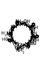 CCCC[C@H]1C(=O)N(C)[C@@H](CCCC)C(=O)N[C@@H](Cc2ccccn2)C(=O)N[C@H](C(=O)NCC(N)=O)CSCC(=O)N[C@@H](Cc2ccc(O)cc2)C(=O)N(C)[C@@H](C)C(=O)N[C@@H](CC(N)=O)C(=O)N2CCCC2C(=O)N[C@@H](Cc2cnc[nH]2)C(=O)N[C@@H](CC(C)C)C(=O)N2C[C@H](O)CC2C(=O)N[C@@H](Cc2c[nH]c3ccccc23)C(=O)N[C@@H](C)C(=O)N[C@@H](Cc2c[nH]c3ccccc23)C(=O)N1C